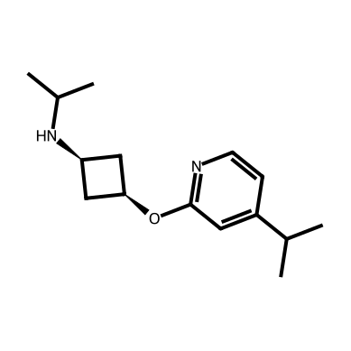 CC(C)N[C@H]1C[C@@H](Oc2cc(C(C)C)ccn2)C1